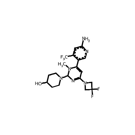 CN1C(c2cnc(N)cc2C(F)(F)F)=CC(N2CC(F)(F)C2)=NC1N1CCC(O)CC1